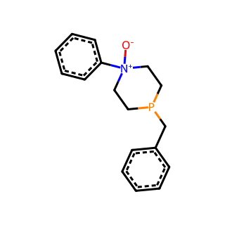 [O-][N+]1(c2ccccc2)CCP(Cc2ccccc2)CC1